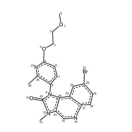 COCCOc1ccc(-n2c(=O)n(C)c3cnc4ccc(Br)cc4c32)c(C)n1